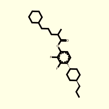 CCC[C@H]1CC[C@H](c2ccc(OC(=O)C(C)CCCC3CCCCC3)c(F)c2F)CC1